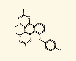 COc1c(OC)c(OC(C)=O)c2c(Sc3ccc(F)cc3)cccc2c1OC(C)=O